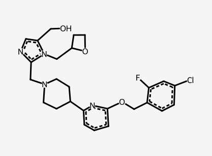 OCc1cnc(CN2CCC(c3cccc(OCc4ccc(Cl)cc4F)n3)CC2)n1CC1CCO1